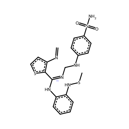 C=Nc1ccsc1/C(=N\CNc1ccc(S(N)(=O)=O)cc1)Nc1ccccc1NSC